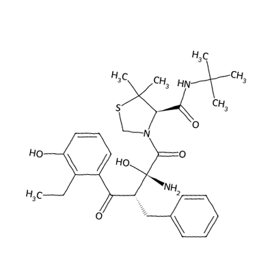 CCc1c(O)cccc1C(=O)[C@@H](Cc1ccccc1)[C@](N)(O)C(=O)N1CSC(C)(C)[C@H]1C(=O)NC(C)(C)C